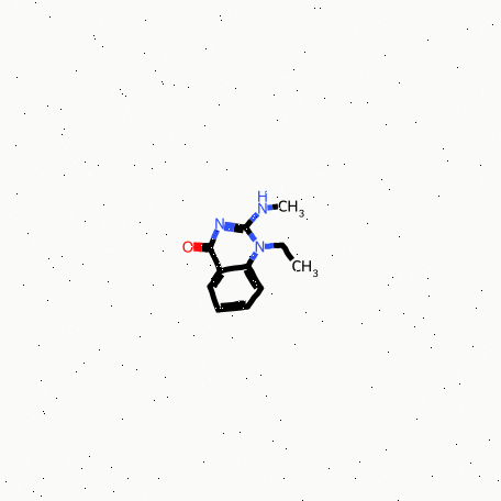 CCn1c(NC)nc(=O)c2ccccc21